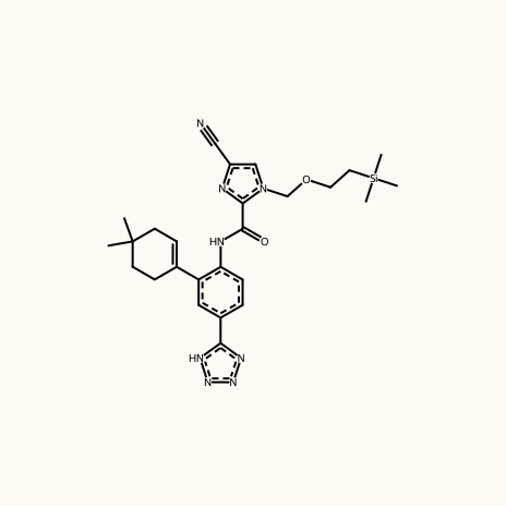 CC1(C)CC=C(c2cc(-c3nnn[nH]3)ccc2NC(=O)c2nc(C#N)cn2COCC[Si](C)(C)C)CC1